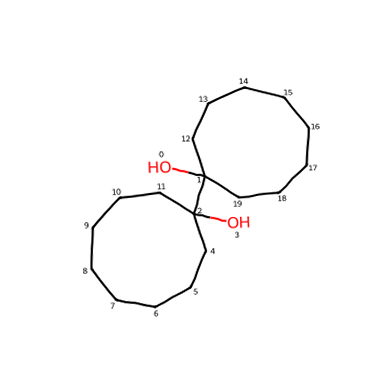 OC1(C2(O)CCCCCCCC2)CCCCCCCC1